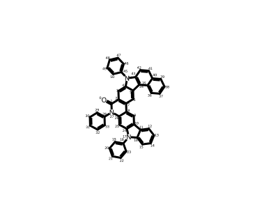 O=c1c2cc3c(cc2c2cc4c5ccccc5n(-c5ccccc5)c4cc2n1-c1ccccc1)c1c2ccccc2ccc1n3-c1ccccc1